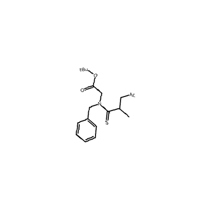 CC(=O)CC(C)C(=S)N(CC(=O)OC(C)(C)C)Cc1ccccc1